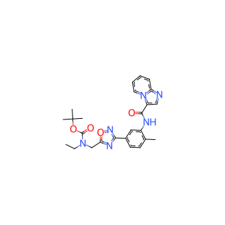 CCN(Cc1nc(-c2ccc(C)c(NC(=O)c3cnc4ccccn34)c2)no1)C(=O)OC(C)(C)C